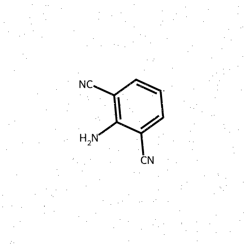 N#Cc1c[c]cc(C#N)c1N